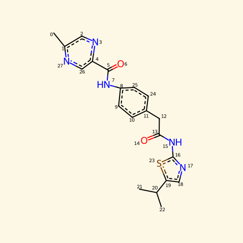 Cc1cnc(C(=O)Nc2ccc(CC(=O)Nc3ncc(C(C)C)s3)cc2)cn1